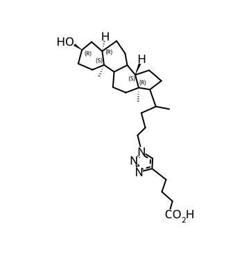 CC(CCCn1cc(CCCC(=O)O)nn1)C1CC[C@H]2C3CC[C@@H]4C[C@H](O)CC[C@]4(C)C3CC[C@]12C